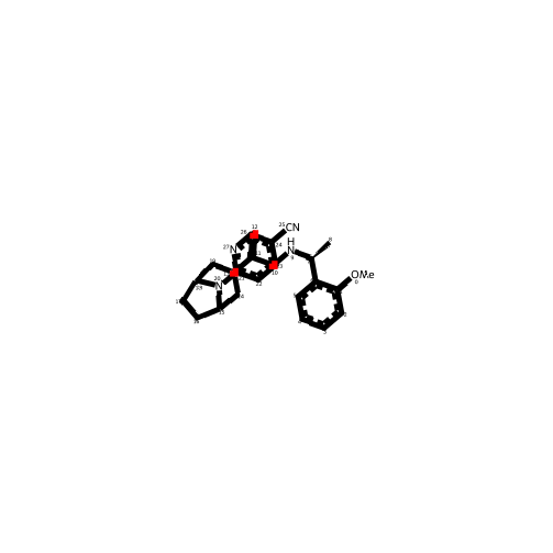 COc1ccccc1[C@H](C)NCC(=O)N1CC2CCC(C1)N2c1ccc(C#N)cn1